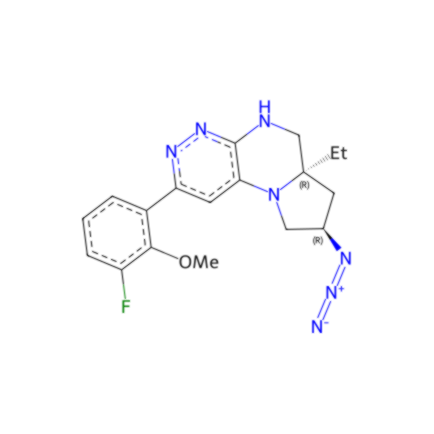 CC[C@@]12CNc3nnc(-c4cccc(F)c4OC)cc3N1C[C@H](N=[N+]=[N-])C2